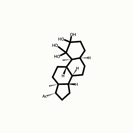 CC(=O)[C@H]1CC[C@H]2[C@@H]3CC[C@@H]4CCC(O)(O)C(O)(O)[C@]4(C)[C@H]3CC[C@]12C